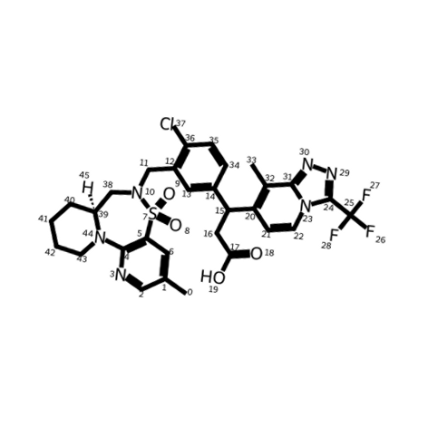 Cc1cnc2c(c1)S(=O)(=O)N(Cc1cc(C(CC(=O)O)c3ccn4c(C(F)(F)F)nnc4c3C)ccc1Cl)C[C@@H]1CCCCN21